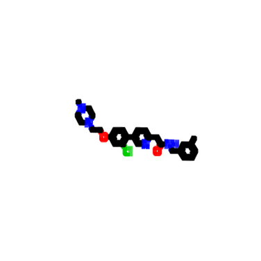 Cc1cccc(CNC(=O)Cc2ccc(-c3ccc(OCCN4CCN(C)CC4)cc3Cl)cn2)c1